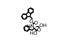 O=C(N[C@](CCO)(Cc1ccccc1)C(=O)O)OCC1c2ccccc2-c2ccccc21